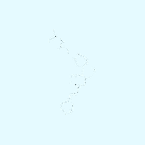 Cl.N=C(N)NC(=O)COc1ccc2c(c1)C(N)C(C[C@H](O)COc1ccccc1)CCC2